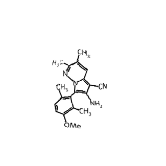 COc1ccc(C)c(-c2c(N)c(C#N)c3cc(C)c(C)nn23)c1C